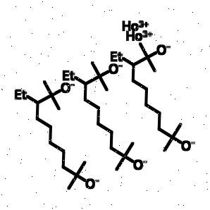 CCC(CCCCCC(C)(C)[O-])C(C)(C)[O-].CCC(CCCCCC(C)(C)[O-])C(C)(C)[O-].CCC(CCCCCC(C)(C)[O-])C(C)(C)[O-].[Ho+3].[Ho+3]